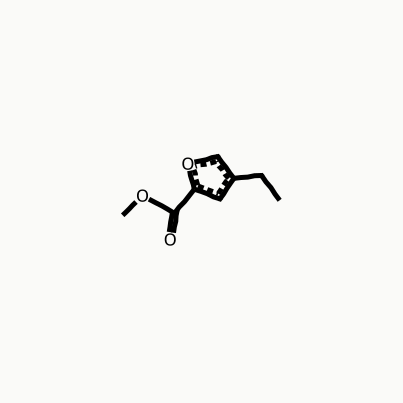 CCc1coc(C(=O)OC)c1